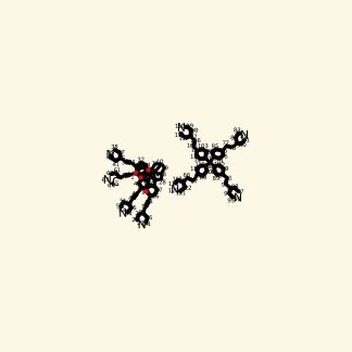 C(#Cc1ccc(C23CC4CC(C2)CC(c2ccc(C#Cc5ccncc5)cc2)(C4)C3(c2ccc(C#Cc3ccncc3)cc2)c2ccc(C#Cc3ccncc3)cc2)cc1)c1ccncc1.C(=Cc1ccc(C(c2ccc(C=Cc3ccncc3)cc2)(c2ccc(C=Cc3ccncc3)cc2)c2ccc(C=Cc3ccncc3)cc2)cc1)c1ccncc1